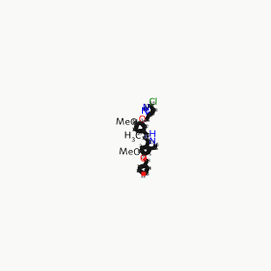 COc1cc2c(cc1OCc1ccccc1)CCNC2/C=C/c1cc(OCc2ccc(Cl)nn2)c(OC)cc1C